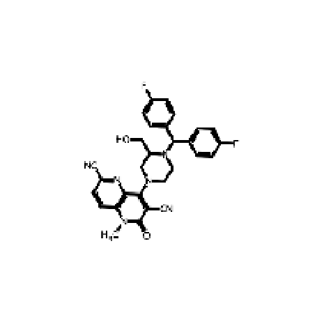 Cn1c(=O)c(C#N)c(N2CCN(C(c3ccc(F)cc3)c3ccc(F)cc3)C(CO)C2)c2nc(C#N)ccc21